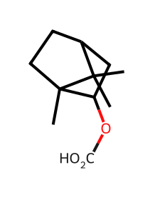 CC1(C)C2CCC1(C)C(OC(=O)O)C2